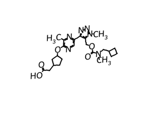 Cc1nc(-c2nnn(C)c2COC(=O)N(C)CC2CCC2)cnc1OC1CCC(CC(=O)O)C1